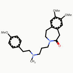 COc1ccc(CCN(C)CCCN2CCc3cc(OC)c(OC)cc3CC2=O)cc1